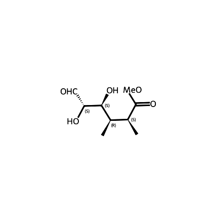 COC(=O)[C@@H](C)[C@@H](C)[C@H](O)[C@H](O)C=O